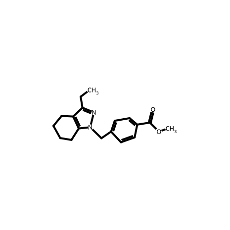 CCc1nn(Cc2ccc(C(=O)OC)cc2)c2c1CCCC2